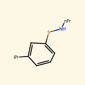 CCCNSc1cccc(C(C)C)c1